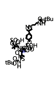 C[n+]1cc(-c2ccc(OCC(O/N=C(\C(=O)N[C@@H]3C(=O)N(OS(=O)(=O)O)C3(C)C)c3csc(NC(=O)OC(C)(C)C)n3)P(=O)(O)O)cc2)cn1CCCNC(=O)OC(C)(C)C